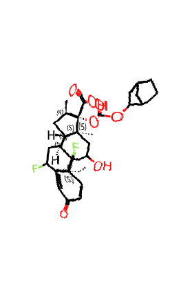 C[C@@H]1C[C@H]2[C@@H]3CC(F)C4=CC(=O)C=C[C@]4(C)C3(F)C(O)C[C@]2(C)[C@]1(OC(=O)OC1CC2CCC1C2)C(=O)O